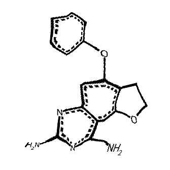 Nc1nc(N)c2c3c(c(Oc4ccccc4)cc2n1)CCO3